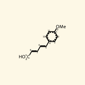 COc1ccc(C=CC=CC(=O)O)cc1